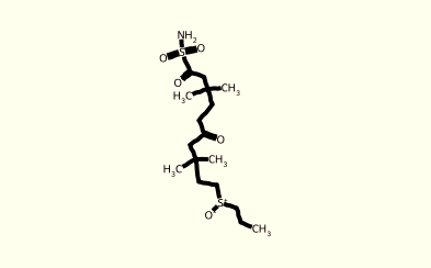 CCC[S+]([O-])CCC(C)(C)CC(=O)CCC(C)(C)CC(=O)S(N)(=O)=O